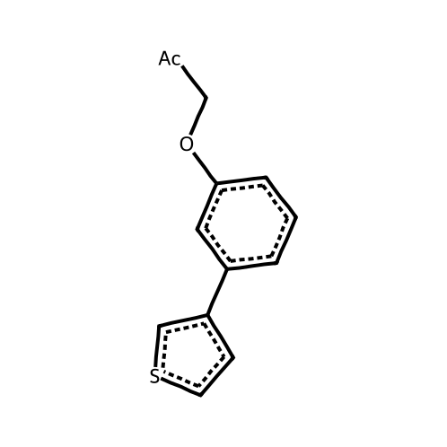 CC(=O)COc1cccc(-c2ccsc2)c1